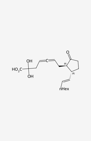 CCCCCCC=C[C@H]1CCC(=O)[C@@H]1CC=C=CCC(O)(O)C(=O)O